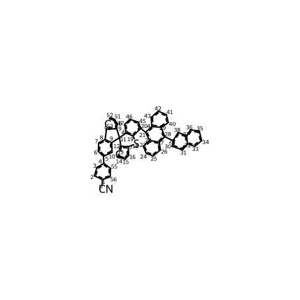 N#Cc1ccc(-c2ccc3c(c2)C2(c4ccccc4Sc4c(-c5c6ccccc6c(-c6ccc7ccccc7c6)c6ccccc56)cccc42)c2ccccc2-3)cc1